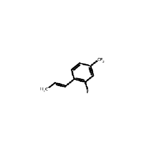 C/C=C/c1ccc(C(F)(F)F)cc1F